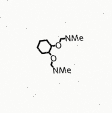 CNCOC1CCCCC1OCNC